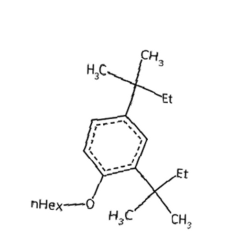 CCCCCCOc1ccc(C(C)(C)CC)cc1C(C)(C)CC